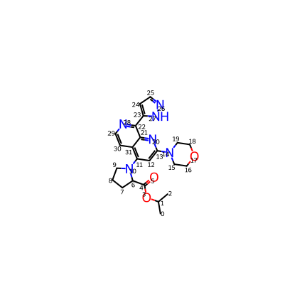 CC(C)OC(=O)C1CCCN1c1cc(N2CCOCC2)nc2c(-c3ccn[nH]3)nccc12